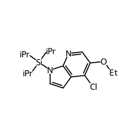 CCOc1cnc2c(ccn2[Si](C(C)C)(C(C)C)C(C)C)c1Cl